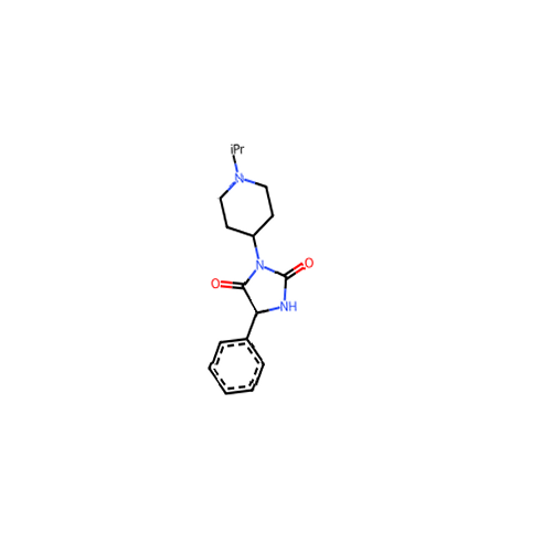 CC(C)N1CCC(N2C(=O)NC(c3ccccc3)C2=O)CC1